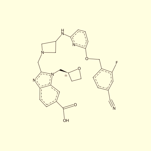 N#Cc1ccc(COc2cccc(NC3CN(Cc4nc5ccc(C(=O)O)cc5n4C[C@@H]4CCO4)C3)n2)c(F)c1